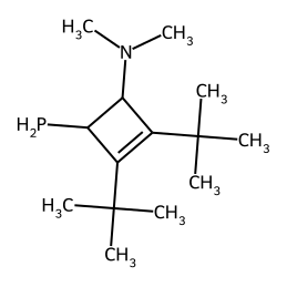 CN(C)C1C(C(C)(C)C)=C(C(C)(C)C)C1P